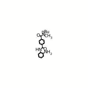 CCCCN(C)C(=O)c1ccc(C(=O)Nc2ccccc2N)cc1